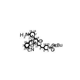 CC(C)(C)OC(=O)N1CCC(CCCn2c(=O)cc(N3CCCC(N)C3)n(Cc3cccc(C#N)c3)c2=O)CC1